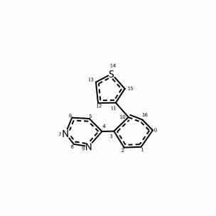 c1ccc(-c2ccncn2)c(-c2ccsc2)c1